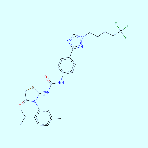 Cc1ccc(C(C)C)c(N2C(=O)CS/C2=N\C(=O)Nc2ccc(-c3ncn(CCCCC(F)(F)F)n3)cc2)c1